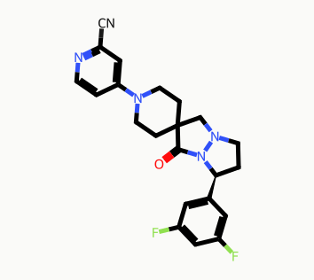 N#Cc1cc(N2CCC3(CC2)CN2CC[C@@H](c4cc(F)cc(F)c4)N2C3=O)ccn1